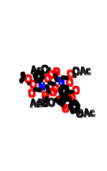 C=C(C)OCOC(=O)CN(CC(=O)OCOC(C)=O)c1ccccc1OCCOc1cc2c(cc1N(CC(=O)OCOC(C)=O)CC(=O)OCOC(C)=O)C(=O)OC21c2ccc(OC(C)=O)cc2Oc2cc(OC(C)=O)ccc21